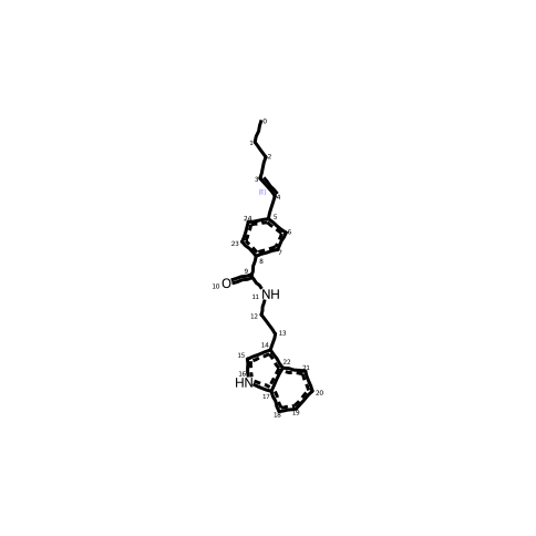 CCC/C=C/c1ccc(C(=O)NCCc2c[nH]c3ccccc23)cc1